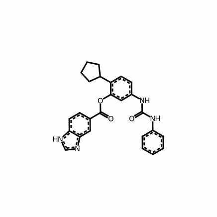 O=C(Nc1ccccc1)Nc1ccc(C2CCCC2)c(OC(=O)c2ccc3[nH]cnc3c2)c1